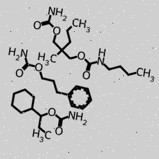 CCC(OC(N)=O)C1CCCCC1.CCCCNC(=O)OCC(C)(CCC)COC(N)=O.NC(=O)OCCCc1ccccc1